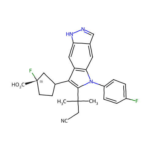 CC(C)(CC#N)c1c(C2CC[C@@](F)(C(=O)O)C2)c2cc3[nH]ncc3cc2n1-c1ccc(F)cc1